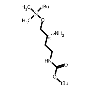 CC(C)(C)OC(=O)NCC[C@@H](N)CO[Si](C)(C)C(C)(C)C